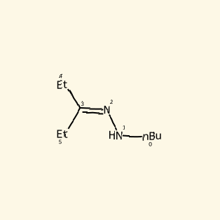 CCCCNN=C(CC)CC